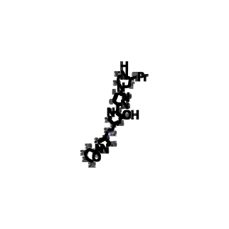 CC(C)C1CN(c2ccc(-c3ncc(/C=C/c4cnn(C5CCCCO5)c4)cc3O)nn2)CCN1